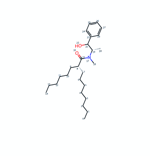 CCCCCCCC[C@H](CCCCCC)C(=O)N(C)[C@@H](C)C(O)c1ccccc1